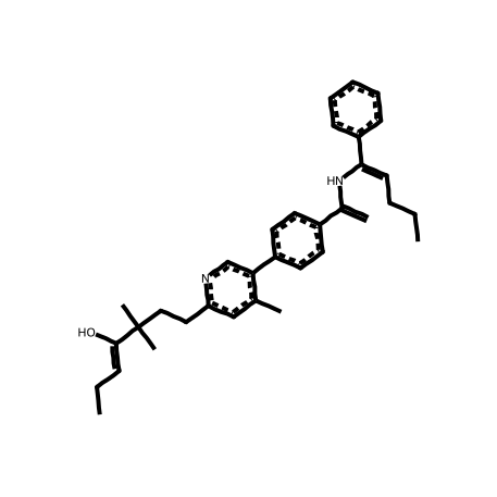 C=C(N/C(=C\CCC)c1ccccc1)c1ccc(-c2cnc(CCC(C)(C)/C(O)=C/CC)cc2C)cc1